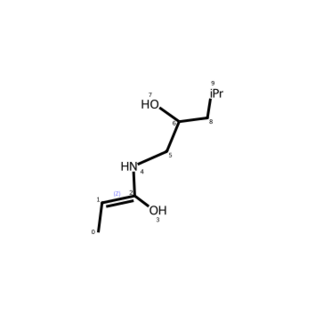 C/C=C(\O)NCC(O)CC(C)C